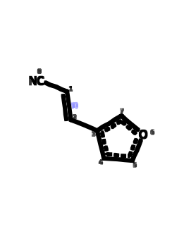 N#C/C=C/c1ccoc1